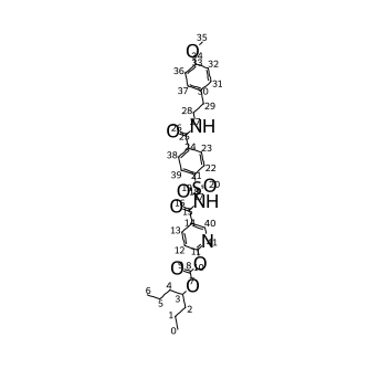 CCCC(CCC)OC(=O)Oc1ccc(C(=O)NS(=O)(=O)c2ccc(C(=O)NCCc3ccc(OC)cc3)cc2)cn1